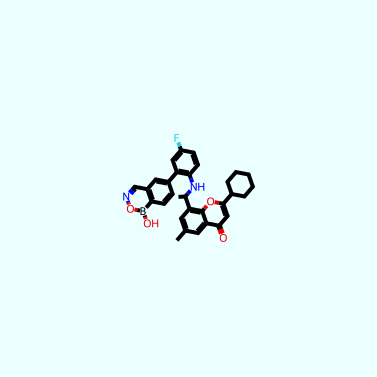 Cc1cc(C(C)Nc2ccc(F)cc2-c2ccc3c(c2)C=NOB3O)c2oc(C3CCCCC3)cc(=O)c2c1